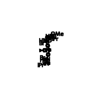 COC(=O)N[C@H](C(=O)N1CCC[C@H]1c1nc(-c2ccc(-c3ccc(-c4ccc(-c5nc([C@@H]6CCCN6C(=O)CC(C)C)[nH]c5Br)cc4)n3-c3ccc(C4CC4)cc3)cc2)c(Br)[nH]1)C(C)C